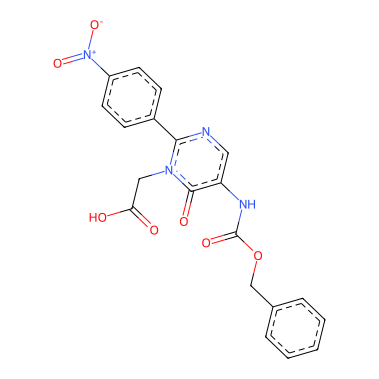 O=C(O)Cn1c(-c2ccc([N+](=O)[O-])cc2)ncc(NC(=O)OCc2ccccc2)c1=O